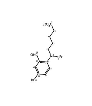 CCCN(CCCCC(=O)OCC)c1ccc(Br)cc1C=O